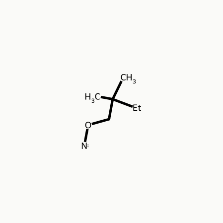 CCC(C)(C)CO[N]